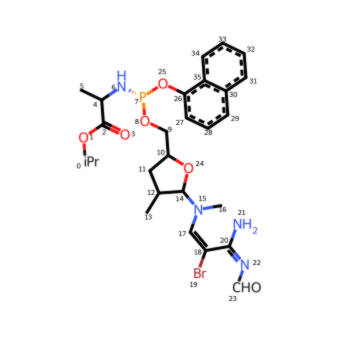 CC(C)OC(=O)C(C)N[P@@](OCC1CC(C)C(N(C)/C=C(Br)\C(N)=N/C=O)O1)Oc1cccc2ccccc12